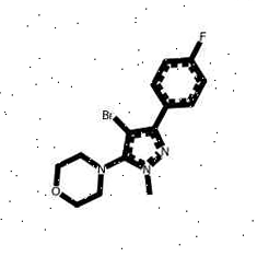 Cn1nc(-c2ccc(F)cc2)c(Br)c1N1CCOCC1